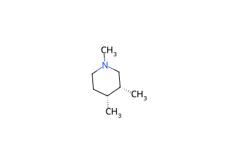 C[C@@H]1CCN(C)C[C@@H]1C